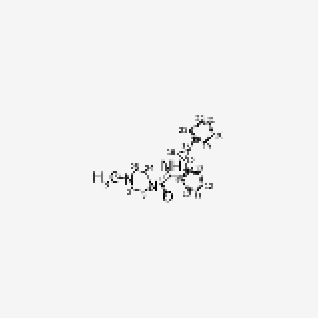 CN1CCN(C(=O)C(N)c2ccccc2[C@H]2C[C@H]2c2ccccc2)CC1